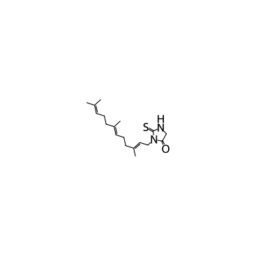 CC(C)=CCC/C(C)=C/CC/C(C)=C/CN1C(=O)CNC1=S